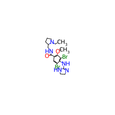 CCN1CCCC1CNC(=O)c1cc(Br)c(NC2=NCCN2)c(Br)c1OC